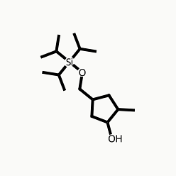 CC1CC(CO[Si](C(C)C)(C(C)C)C(C)C)CC1O